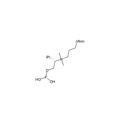 CCCCCCCCCCCC[N+](C)(C)[C@H](COP(O)O)C(C)C